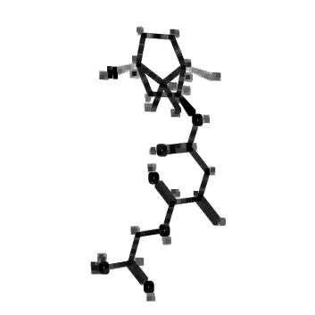 C=C(CC(=O)O[C@H]1C[C@H]2CC[C@]1(C)C2(C)C)C(=O)OCC(=O)O